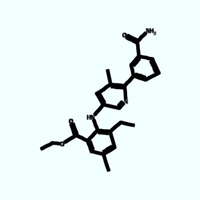 CCOC(=O)c1cc(C)cc(CC)c1Nc1cnc(-c2cccc(C(N)=O)c2)c(C)c1